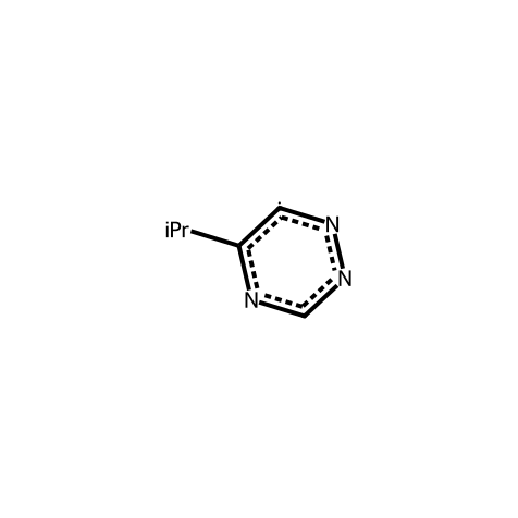 CC(C)c1[c]nncn1